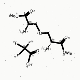 COC(=O)[C@H](N)COC[C@@H](N)C(=O)OC.O=C(O)C(F)(F)F